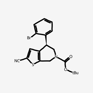 CC(C)(C)OC(=O)N1Cc2sc(C#N)cc2[C@@H](c2ccccc2Br)C1